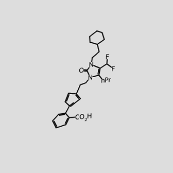 CCCc1c(C(F)F)n(CCC2CCCCC2)c(=O)n1CCc1ccc(-c2ccccc2C(=O)O)cc1